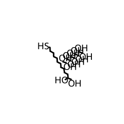 OCC(O)CCCCCCCCCCCS.OCCO.OCCO.OCCO.OCCO.OCCO